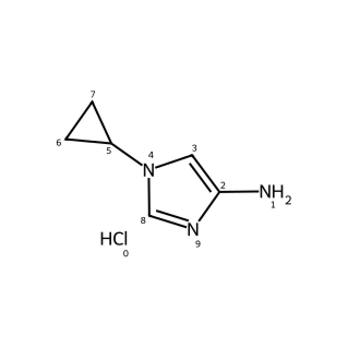 Cl.Nc1cn(C2CC2)cn1